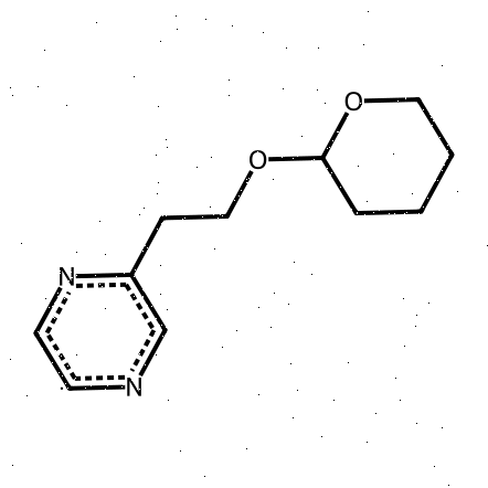 [c]1cnc(CCOC2CCCCO2)cn1